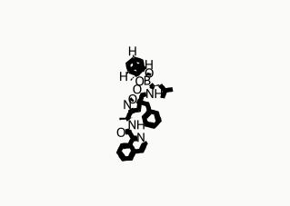 CC(C)C[C@H](NC(=O)C1(Cc2ccccc2)CC([C@H](C)NC(=O)c2nccc3ccccc23)=NO1)B1O[C@@H]2C[C@@H]3C[C@@H](C3(C)C)[C@]2(C)O1